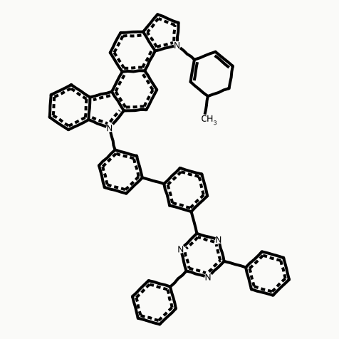 CC1C=C(n2ccc3ccc4c(ccc5c4c4ccccc4n5-c4cccc(-c5cccc(-c6nc(-c7ccccc7)nc(-c7ccccc7)n6)c5)c4)c32)C=CC1